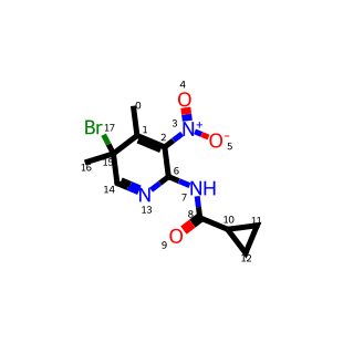 CC1=C([N+](=O)[O-])C(NC(=O)C2CC2)N=CC1(C)Br